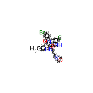 Cc1ccc(S[C@@]2(C(=O)NCCCCN3CCOCC3)CC(=O)N(Cc3ccc(Br)cc3)[C@@H]2c2c[nH]c3cc(Cl)ccc23)cc1